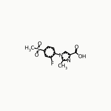 Cc1nc(C(=O)O)cn1-c1ccc(S(C)(=O)=O)cc1F